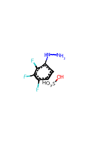 NNc1ccc(F)c(F)c1F.O=S(=O)(O)O